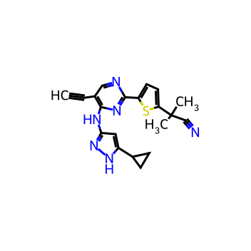 C#Cc1cnc(-c2ccc(C(C)(C)C#N)s2)nc1Nc1cc(C2CC2)[nH]n1